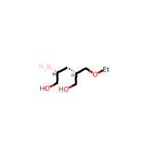 B[C@@H](CO)C[C@@H](CO)COCC